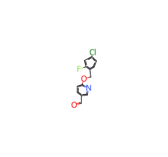 O=Cc1ccc(OCc2ccc(Cl)cc2F)nc1